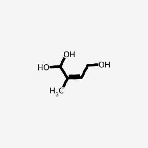 CC(=CCO)C(O)O